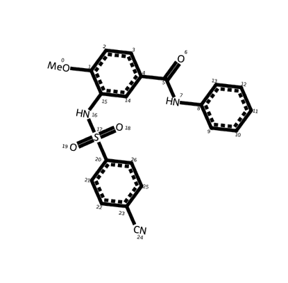 COc1ccc(C(=O)Nc2ccccc2)cc1NS(=O)(=O)c1ccc(C#N)cc1